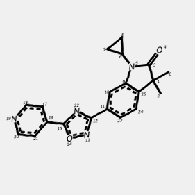 CC1(C)C(=O)N(C2CC2)c2cc(-c3noc(-c4ccncc4)n3)ccc21